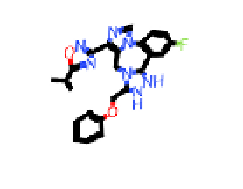 CC(C)c1nc(-c2ncn3c2CN2C(COc4ccccc4)NNC2c2cc(F)ccc2-3)no1